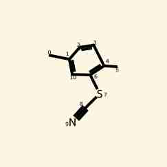 Cc1[c]cc(C)c(SC#N)c1